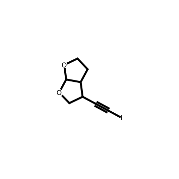 IC#CC1COC2OCCC12